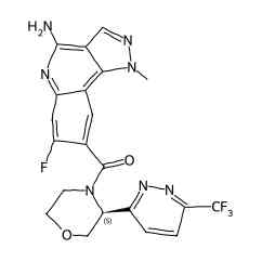 Cn1ncc2c(N)nc3cc(F)c(C(=O)N4CCOC[C@@H]4c4ccc(C(F)(F)F)nn4)cc3c21